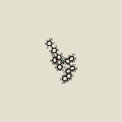 c1ccc(-c2ccc(-c3ccc(N(c4cc(-c5cccc6c5ccc5c7ccccc7ccc65)c5ccccc5c4)c4ccccc4-c4ccccc4)cc3)cc2)cc1